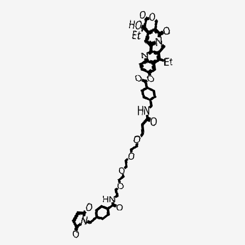 CCc1c2c(nc3ccc(OC(=O)C4CCC(CNC(=O)CCOCCOCCOCCOCCNC(=O)C5CCC(CN6C(=O)C=CC6=O)CC5)CC4)cc13)-c1cc3c(c(=O)n1C2)COC(=O)[C@]3(O)CC